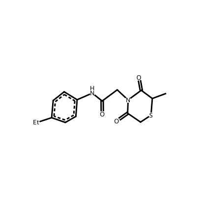 CCc1ccc(NC(=O)CN2C(=O)CSC(C)C2=O)cc1